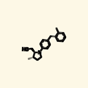 Cc1ccccc1Cc1ccc(N2CC[C@H](C)[C@H]2CO)cc1